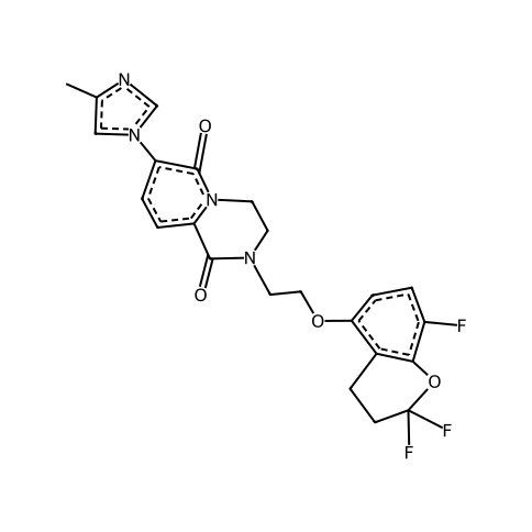 Cc1cn(-c2ccc3n(c2=O)CCN(CCOc2ccc(F)c4c2CCC(F)(F)O4)C3=O)cn1